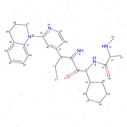 CCC(C(=N)C(=O)C(NC(=O)C(C)NC)C1CCCCC1)c1ccnc(N2CCCc3ccccc32)c1